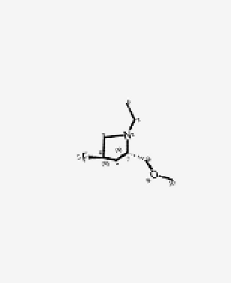 CCN1C[C@H](F)C[C@H]1COC